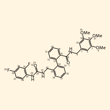 COc1cc(CNC(=O)c2ccccc2-c2ccccc2CNC(=O)Nc2ccc(F)cc2F)cc(OC)c1OC